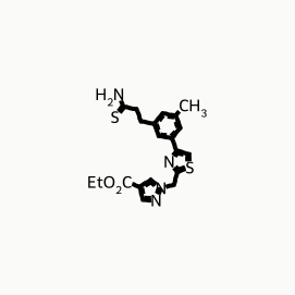 CCOC(=O)c1cnn(Cc2nc(-c3cc(C)cc(CCC(N)=S)c3)cs2)c1